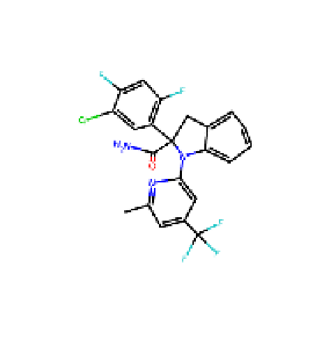 Cc1cc(C(F)(F)F)cc(N2c3ccccc3CC2(C(N)=O)c2cc(Cl)c(F)cc2F)n1